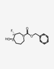 O=C(OCc1ccccc1)N1CCC[C@@H](O)[C@H](F)C1